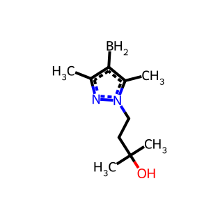 Bc1c(C)nn(CCC(C)(C)O)c1C